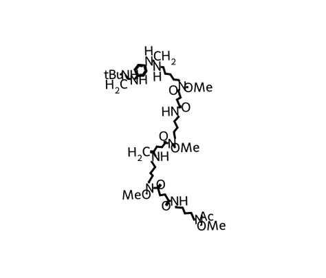 C=C(CCC(=O)N(CCCCCNC(=O)CCC(=O)N(CCCCCNC(=C)Nc1ccc(NC(=C)NC(C)(C)C)cc1)OC)OC)NCCCCCN(OC)C(=O)CCC(=O)NCCCCCN(OC)C(C)=O